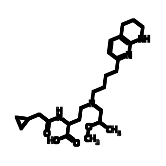 COC(C)CN(CCCCc1ccc2c(n1)NCCC2)CCC(NC(=O)CC1CC1)C(=O)O